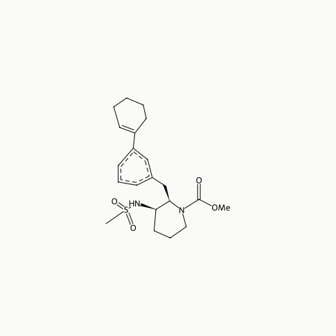 COC(=O)N1CCC[C@@H](NS(C)(=O)=O)[C@H]1Cc1cccc(C2=CCCCC2)c1